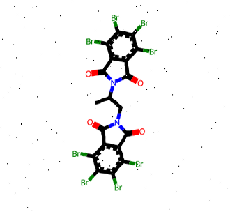 CC(CN1C(=O)c2c(Br)c(Br)c(Br)c(Br)c2C1=O)N1C(=O)c2c(Br)c(Br)c(Br)c(Br)c2C1=O